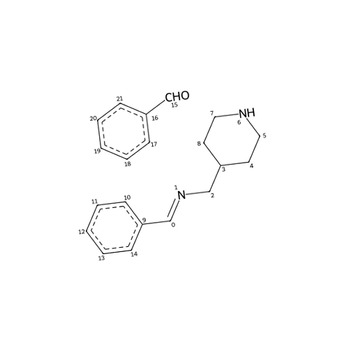 C(=NCC1CCNCC1)c1ccccc1.O=Cc1ccccc1